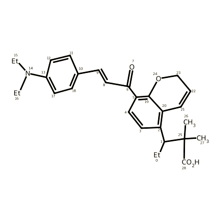 CCC(c1ccc(C(=O)/C=C/c2ccc(N(CC)CC)cc2)c2c1C=CCO2)C(C)(C)C(=O)O